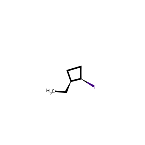 CC[C@H]1CC[C@H]1I